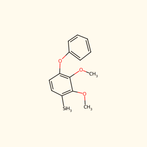 COc1c([SiH3])ccc(Oc2ccccc2)c1OC